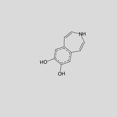 Oc1cc2c(cc1O)C=CNC=C2